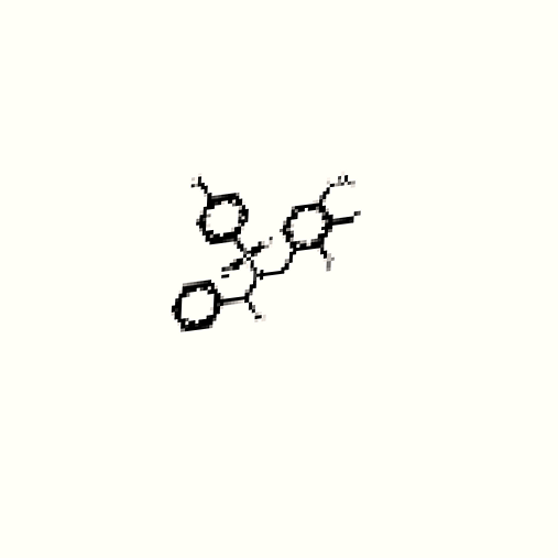 CC[C@@H](c1ccccc1)N(Cc1ccc(C(=O)O)c(F)c1F)S(=O)(=O)c1ccc(Cl)cc1